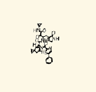 O=C(NC1CC1)C(=O)C(C[C@@H]1CCNC1=O)NC(=O)[C@@H]1[C@@H]2C[C@@H](CC23CC3)N1C(=O)c1ncc(-c2ccccc2)s1